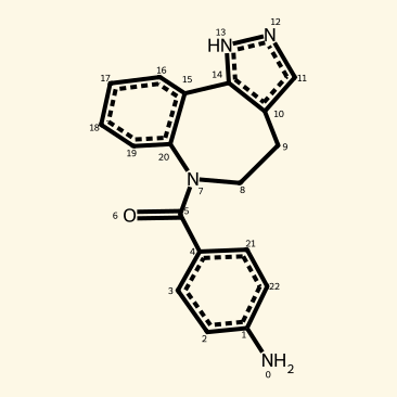 Nc1ccc(C(=O)N2CCc3cn[nH]c3-c3ccccc32)cc1